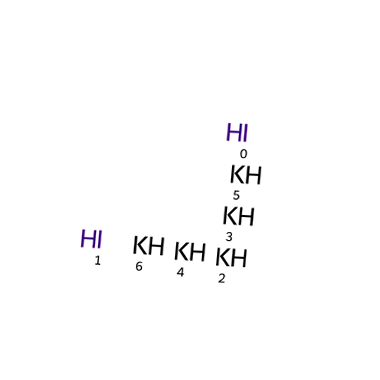 I.I.[KH].[KH].[KH].[KH].[KH]